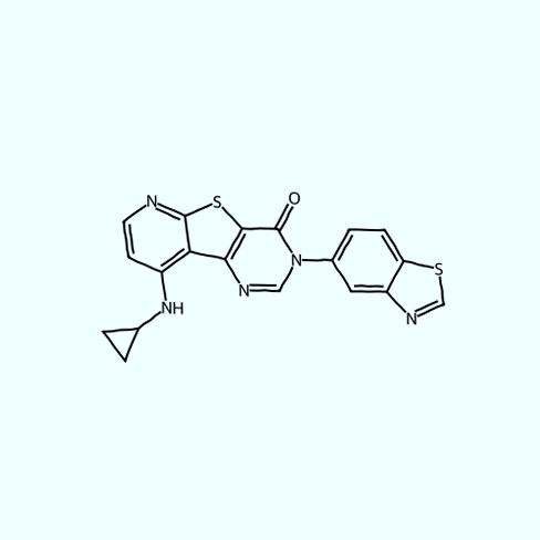 O=c1c2sc3nccc(NC4CC4)c3c2ncn1-c1ccc2scnc2c1